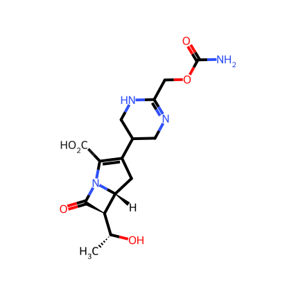 C[C@@H](O)[C@H]1C(=O)N2C(C(=O)O)=C(C3CN=C(COC(N)=O)NC3)C[C@H]12